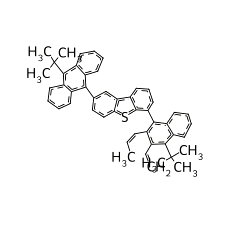 C=Cc1c(/C=C\C)c(-c2cccc3c2sc2ccc(-c4c5ccccc5c(C(C)(C)C)c5ccccc45)cc23)c2ccccc2c1C(C)(C)C